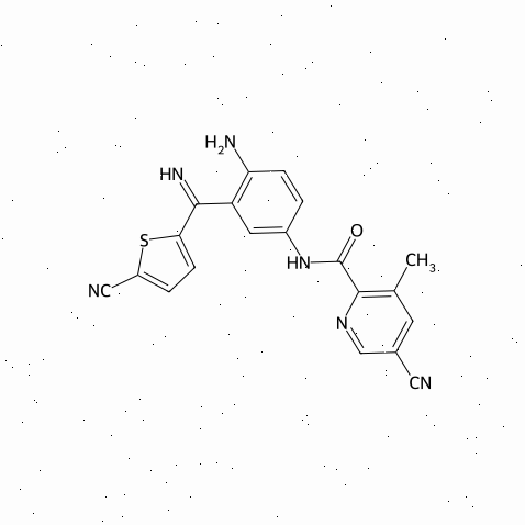 Cc1cc(C#N)cnc1C(=O)Nc1ccc(N)c(C(=N)c2ccc(C#N)s2)c1